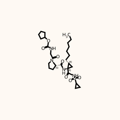 CCCCCCC[C@@H]1C[C@]1(NC(=O)[C@@H]1CCCN1C(=O)CNC(=O)OC1CCCC1)C(=O)NS(=O)(=O)C1CC1